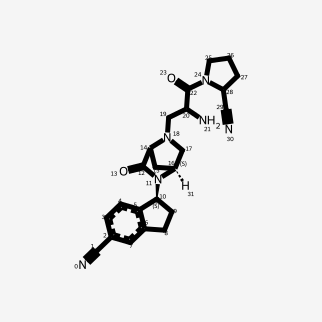 N#Cc1ccc2c(c1)CC[C@@H]2N1C(=O)C2C[C@H]1CN2CC(N)C(=O)N1CCCC1C#N